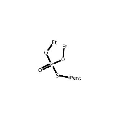 CCCCCSP(=O)(OCC)OCC